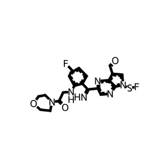 N=C(c1cnc2c(n1)c(C=O)cn2SF)c1ccc(F)cc1NCC(=O)N1CCOCC1